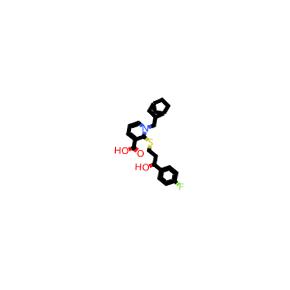 O=C(O)C1=CC=CN(CC2CC3CCC2C3)C1SCCC(O)c1ccc(F)cc1